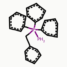 PP(Cc1ccccc1)(c1ccccc1)(c1ccccc1)c1ccccc1